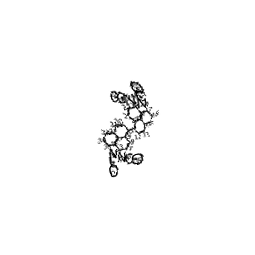 O=C=NC1(N=C=O)C=Cc2c(-c3ccc4cccc5c4c3C=CC5(N=C=O)N=C=O)ccc3cccc1c23